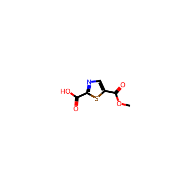 COC(=O)c1cnc(C(=O)O)s1